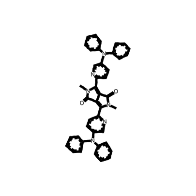 CN1C(=O)C2=C(c3ccc(N(c4ccccc4)c4ccccc4)cn3)N(C)C(=O)C2=C1c1ccc(N(c2ccccc2)c2ccccc2)cn1